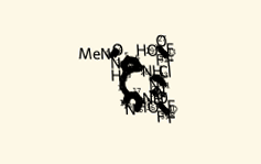 CNC(=O)Nc1ccc2cc1CCc1cncc(c1)Nc1ncc(Cl)c(n1)N2.O=C(O)C(F)(F)F.O=C(O)C(F)(F)F